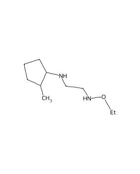 CCONCCNC1CCCC1C